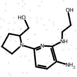 Nc1ccc(N2CCCC2CO)nc1NCCO